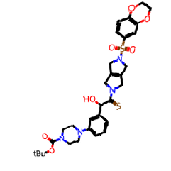 CC(C)(C)OC(=O)N1CCN(c2cccc(C(O)C(=S)N3CC4=C(C3)CN(S(=O)(=O)c3ccc5c(c3)OCCO5)C4)c2)CC1